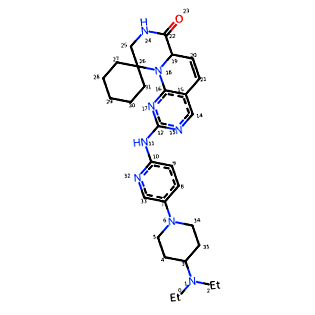 CCN(CC)C1CCN(c2ccc(Nc3ncc4c(n3)N3C(C=C4)C(=O)NCC34CCCCC4)nc2)CC1